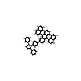 C1=C(c2ccccc2)N(c2ccc(-c3ccc4c(-c5cccc6ccccc56)c5ccccc5c(-c5cccc6ccccc56)c4c3)cc2)C(c2ccccc2)C1